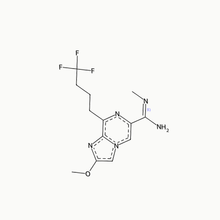 C/N=C(/N)c1cn2cc(OC)nc2c(CCCC(F)(F)F)n1